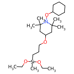 CCO[Si](C)(CCCOC1CC(C)(C)N(OC2CCCCC2)C(C)(C)C1)OCC